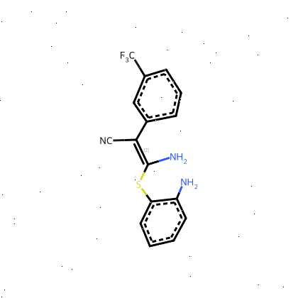 N#C/C(=C(/N)Sc1ccccc1N)c1cccc(C(F)(F)F)c1